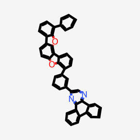 c1ccc(-c2cccc3c2oc2c3ccc3oc4c(-c5cccc(-c6cnc7c8ccccc8c8ccccc8c7n6)c5)cccc4c32)cc1